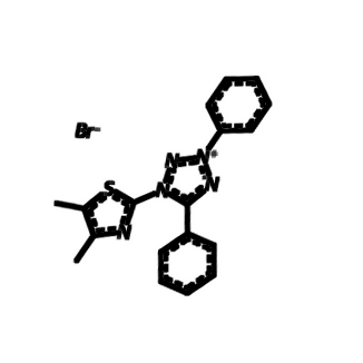 Cc1nc(-n2n[n+](-c3ccccc3)nc2-c2ccccc2)sc1C.[Br-]